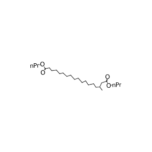 CCCOC(=O)CCCCCCCCCCCCCCC(C)CC(=O)OCCC